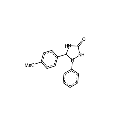 COc1ccc(C2NC(=O)NN2c2ccccc2)cc1